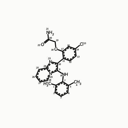 Cc1cccc(C)c1Nc1c(-c2ccc(Cl)cc2OCC(N)=O)nc2ccccn12